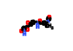 Cc1cc(CC(=O)NCc2ccc3c(c2)CC(CCC2CCC(=O)NC2=O)C3=O)ccc1CN1CCOCC1